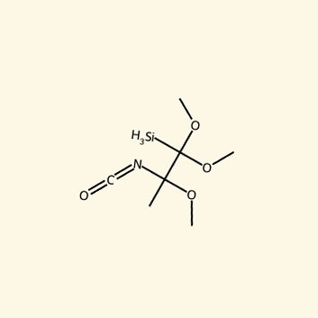 COC(C)(N=C=O)C([SiH3])(OC)OC